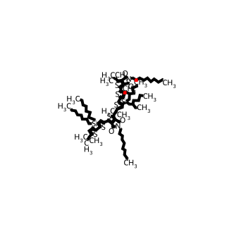 CCCCCCCCCCN1C(=O)c2c(-c3cc4c(s3)-c3sc(C(C)(C)c5sc(-c6cc7c(s6)-c6sc(C(C)(C)C)cc6[Si]7(CCCCCCCC)CCCCCCCC)c6c5C(=O)N(CCCCCCCCCC)C6=O)cc3[Si]4(CC(CC)CCCC)CC(CC)CCCC)sc(C(C)(C)C)c2C1=O